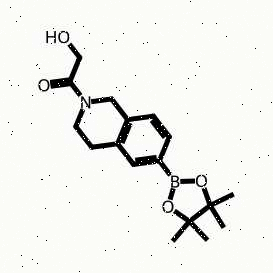 CC1(C)OB(c2ccc3c(c2)CCN(C(=O)CO)C3)OC1(C)C